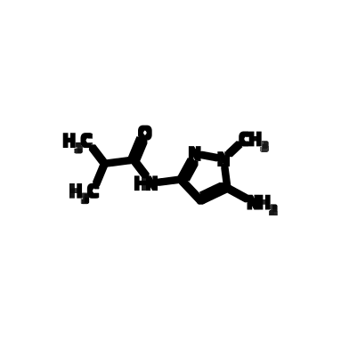 CC(C)C(=O)Nc1cc(N)n(C)n1